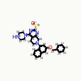 C[S+]([O-])c1nc2c(c(N3CCNCC3)n1)CCN(c1cc(OCc3ccccc3)cc3ccccc13)C2